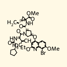 C=C[C@@H]1C[C@]1(NC(=O)[C@@H]1C[C@@H](Oc2cc(OCC)nc3c(Br)c(OC)ccc23)CN1C(=O)[C@@H](NC(=O)OC1CCCC1)C(=C)C)C(=O)OC